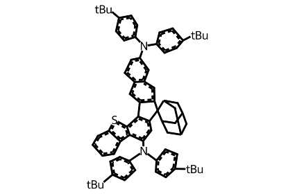 CC(C)(C)c1ccc(N(c2ccc(C(C)(C)C)cc2)c2ccc3cc4c(cc3c2)C2(c3cc(N(c5ccc(C(C)(C)C)cc5)c5ccc(C(C)(C)C)cc5)c5c(sc6ccccc65)c3-4)C3CC4CC(C3)CC2C4)cc1